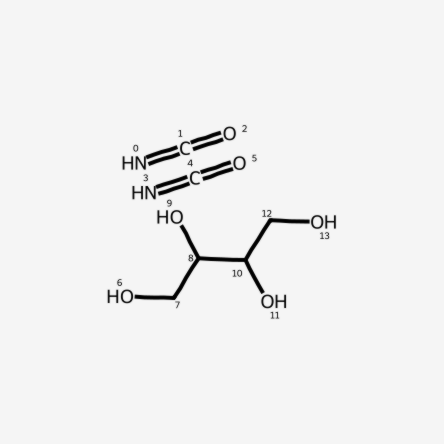 N=C=O.N=C=O.OCC(O)C(O)CO